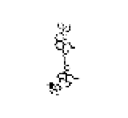 CCCc1c(OCCCOc2ccc(-c3csc(=S)[nH]3)c(OC)c2CCC)ccc2c1OC(C(=O)OC)CC2